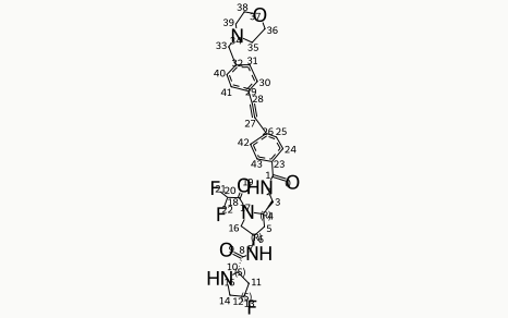 O=C(NC[C@H]1C[C@@H](NC(=O)[C@@H]2C[C@H](F)CN2)CN1C(=O)C(F)F)c1ccc(C#Cc2ccc(CN3CCOCC3)cc2)cc1